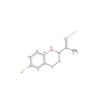 CC(=CF)C1CCc2cc(F)ccc2O1